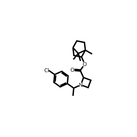 CC(c1ccc(Cl)cc1)N1CCC1C(=O)OC1CC2CCC1(C)C2(C)C